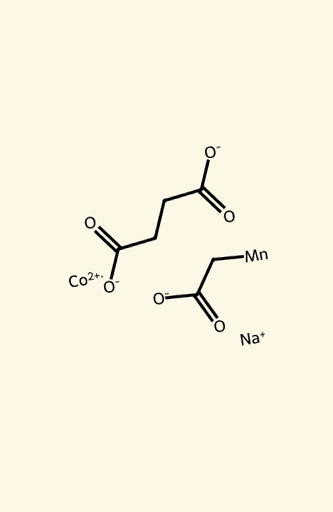 O=C([O-])CCC(=O)[O-].O=C([O-])[CH2][Mn].[Co+2].[Na+]